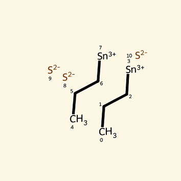 CC[CH2][Sn+3].CC[CH2][Sn+3].[S-2].[S-2].[S-2]